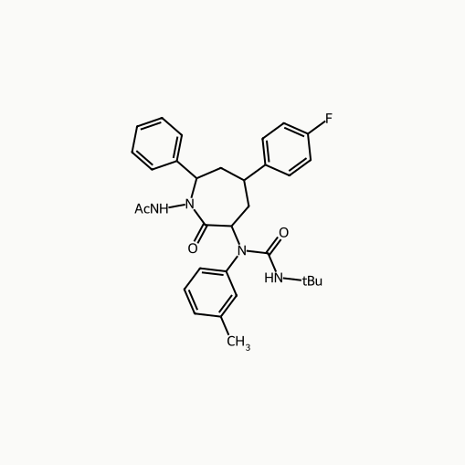 CC(=O)NN1C(=O)C(N(C(=O)NC(C)(C)C)c2cccc(C)c2)CC(c2ccc(F)cc2)CC1c1ccccc1